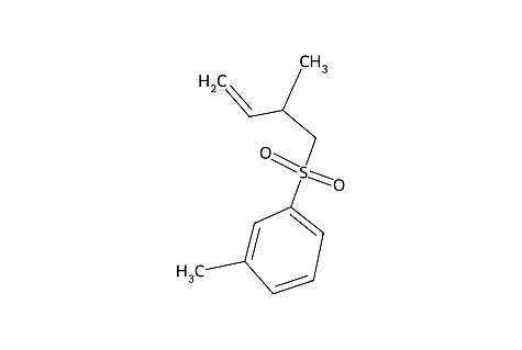 C=CC(C)CS(=O)(=O)c1cccc(C)c1